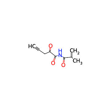 C#CCC(=O)C(=O)NC(=O)C(=C)C